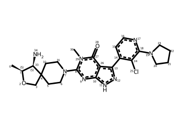 C[C@@H]1OCC2(CCN(c3nc4[nH]nc(-c5ccnc(N6CCCC6)c5Cl)c4c(=O)n3C)CC2)[C@@H]1N